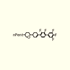 CCCCCC1CCC(C2CC=C(c3ccc(-c4cc(F)c(F)c(F)c4)c(F)c3F)CC2)OC1